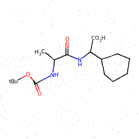 CC(NC(=O)OC(C)(C)C)C(=O)NC(C(=O)O)C1CCCCC1